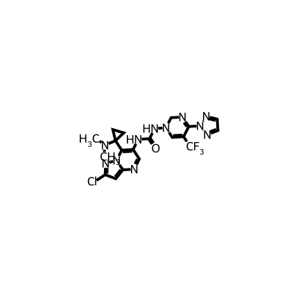 CN(C)C1(c2c(NC(=O)NN3C=C(C(F)(F)F)C(n4nccn4)=NC3)cnc3cc(Cl)nn23)CC1